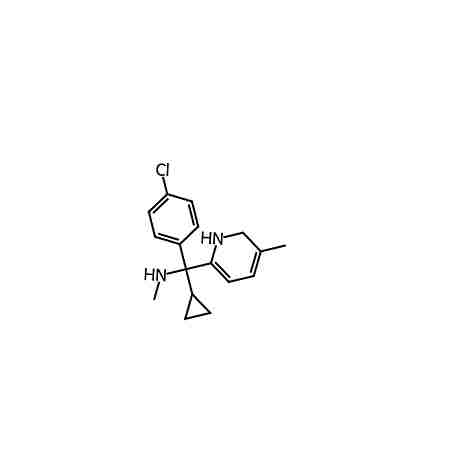 CNC(C1=CC=C(C)CN1)(c1ccc(Cl)cc1)C1CC1